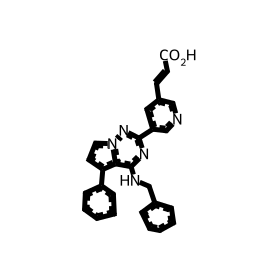 O=C(O)/C=C/c1cncc(-c2nc(NCc3ccccc3)c3c(-c4ccccc4)ccn3n2)c1